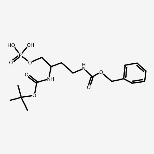 CC(C)(C)OC(=O)NC(CCNC(=O)OCc1ccccc1)COP(=O)(O)O